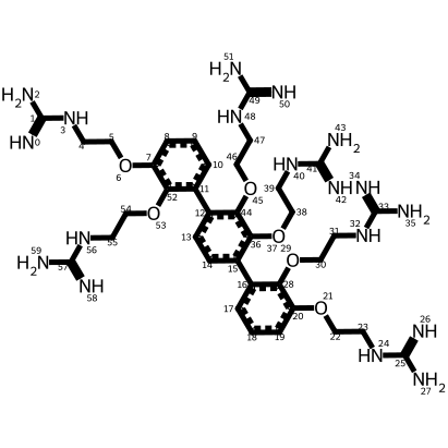 N=C(N)NCCOc1cccc(-c2ccc(-c3cccc(OCCNC(=N)N)c3OCCNC(=N)N)c(OCCNC(=N)N)c2OCCNC(=N)N)c1OCCNC(=N)N